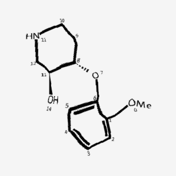 COc1ccccc1O[C@H]1CCNC[C@@H]1O